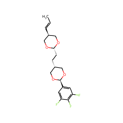 C/C=C/[C@H]1CO[C@H](CC[C@H]2CO[C@H](c3cc(F)c(F)c(F)c3)OC2)OC1